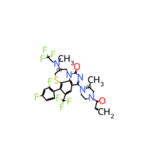 C=CC(=O)N1CCN(c2nc(=O)n3c4c(c(-c5ccc(F)cc5F)c(C(F)(F)F)cc24)SC[C@@H](N(C)CC(F)(F)F)C3)[C@@H](C)C1